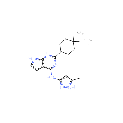 COC1(C(=O)O)CCC(c2nc(Nc3cc(C)[nH]n3)c3cc[nH]c3n2)CC1